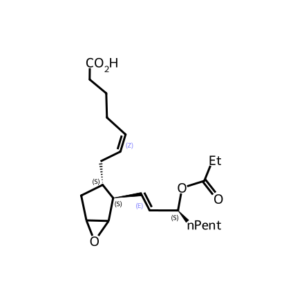 CCCCC[C@@H](/C=C/[C@H]1C2OC2C[C@@H]1C/C=C\CCCC(=O)O)OC(=O)CC